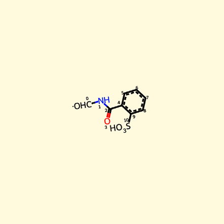 O=[C]NC(=O)c1ccccc1S(=O)(=O)O